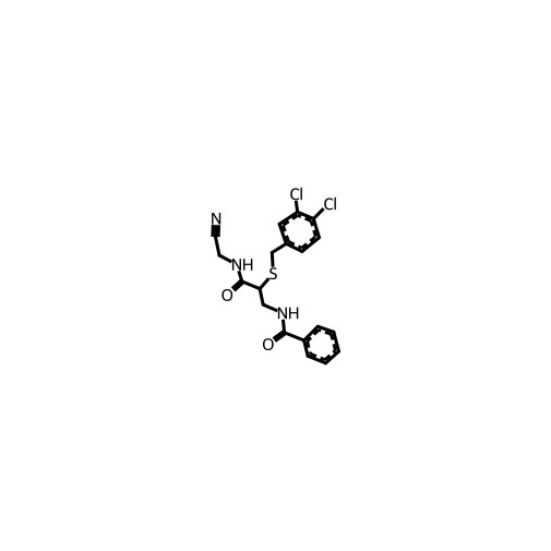 N#CCNC(=O)C(CNC(=O)c1ccccc1)SCc1ccc(Cl)c(Cl)c1